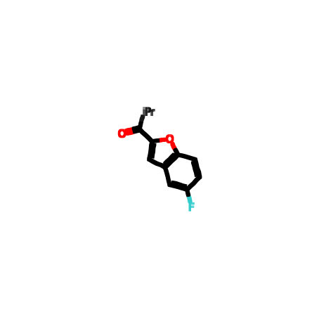 CC(C)C(=O)c1cc2cc(F)ccc2o1